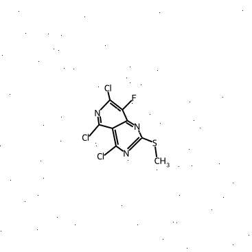 CSc1nc(Cl)c2c(Cl)nc(Cl)c(F)c2n1